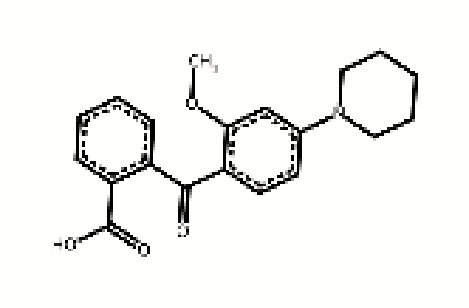 COc1cc(N2CCCCC2)ccc1C(=O)c1ccccc1C(=O)O